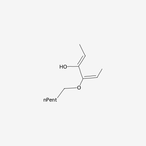 CC=C(O)C(=CC)OCCCCCC